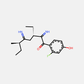 CC[C@@H](CC(=N)[C@H](C)CC)C(=N)C(=O)c1ccc(O)cc1F